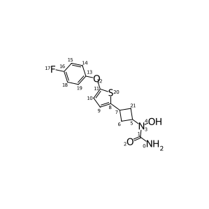 NC(=O)N(O)C1CC(c2ccc(Oc3ccc(F)cc3)s2)C1